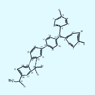 Cc1ccc(N(c2ccc(C)cc2)c2ccc(-c3ccc4c(c3)C(C)(C)c3cc(C(C)C(C)C)ccc3-4)cc2)cc1